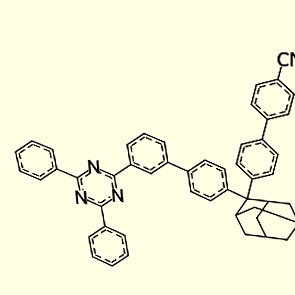 N#Cc1ccc(-c2ccc(C3(c4ccc(-c5cccc(-c6nc(-c7ccccc7)nc(-c7ccccc7)n6)c5)cc4)C4CC5CC(C4)CC3C5)cc2)cc1